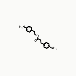 Nc1ccc(CCOC(=O)CCc2ccc(N)cc2)cc1